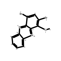 COc1c(Br)cc(Br)c2nc3ccccc3nc12